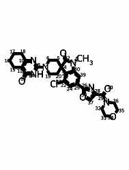 CN1C(=O)C2(CCN(c3nc4c(c(=O)[nH]3)CCCC4)CC2)c2c(Cl)cc(-c3nc(C(=O)N4CCOCC4)co3)cc21